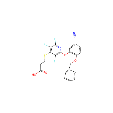 N#Cc1ccc(OCc2ccccc2)c(Oc2nc(F)c(F)c(SCCC(=O)O)c2F)c1